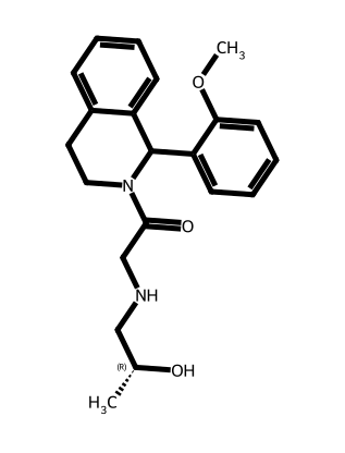 COc1ccccc1C1c2ccccc2CCN1C(=O)CNC[C@@H](C)O